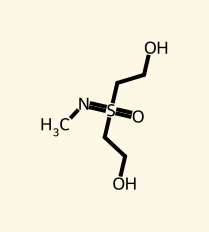 CN=S(=O)(CCO)CCO